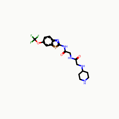 O=C(CNC1CCNCC1)NCC(=O)Nc1nc2ccc(OC(F)(F)F)cc2s1